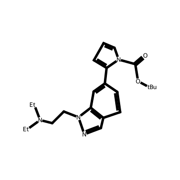 CCN(CC)CCn1ncc2ccc(-c3cccn3C(=O)OC(C)(C)C)cc21